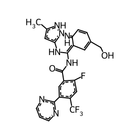 Cc1cc(N/C(NC(=O)c2cc(-c3ncccn3)c(C(F)(F)F)cc2F)=C2/C=C(CO)C=CC2=N)n[nH]1